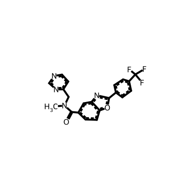 CN(Cc1ccncn1)C(=O)c1ccc2oc(-c3ccc(C(F)(F)F)cc3)nc2c1